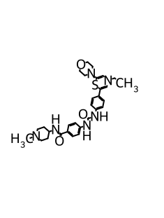 CCN1C=C(c2ccc(NC(=O)Nc3ccc(C(=O)NC4CCN(C)CC4)cc3)cc2)SC(N2CCOCC2)=C1